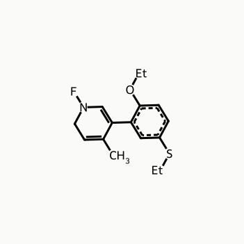 CCOc1ccc(SCC)cc1C1=CN(F)CC=C1C